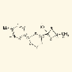 CCc1ccc(N2CCC[C@H](C3(O)CN(C)C3)C2)cn1